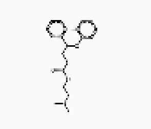 CN(C)CCOC(=O)CCC1Oc2ccccc2-c2ccccc21